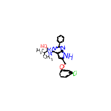 CC(C)C(CO)Nc1nc(-c2ccccc2)nc2[nH]c(COc3cccc(Cl)c3)cc12